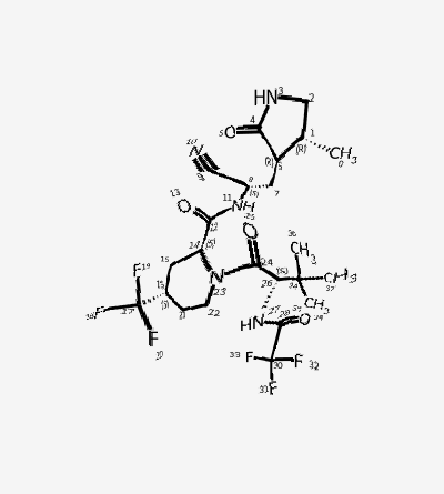 C[C@H]1CNC(=O)[C@@H]1C[C@@H](C#N)NC(=O)[C@@H]1C[C@@H](C(F)(F)F)CCN1C(=O)[C@@H](NC(=O)C(F)(F)F)C(C)(C)C